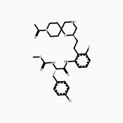 COC(=O)N[C@@H](Cc1ccc(Cl)cc1)C(=O)Nc1cccc(F)c1CC[C@@H]1CNCC2(CCN(C(C)=O)CC2)O1